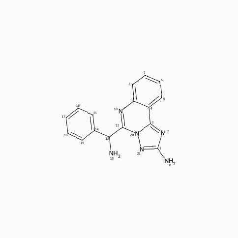 Nc1nc2c3ccccc3nc(C(N)c3ccccc3)n2n1